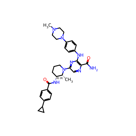 C[C@@H]1[C@H](NC(=O)c2ccc(C3CC3)cc2)CCCN1c1cnc(C(N)=O)c(Nc2ccc(N3CCN(C)CC3)cc2)n1